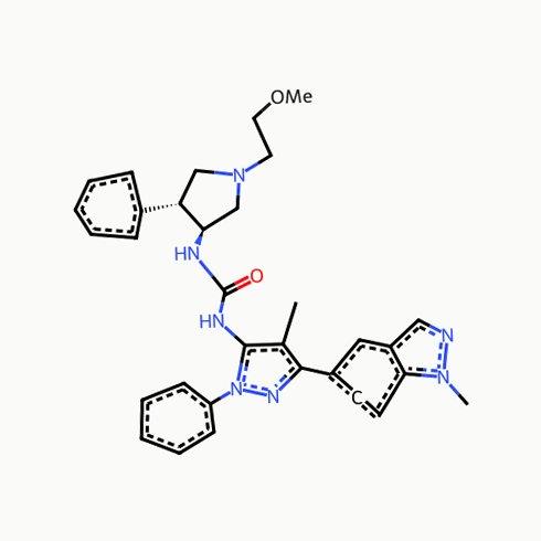 COCCN1C[C@@H](NC(=O)Nc2c(C)c(-c3ccc4c(cnn4C)c3)nn2-c2ccccc2)[C@H](c2ccccc2)C1